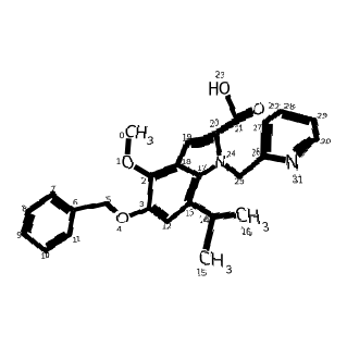 COc1c(OCc2ccccc2)cc(C(C)C)c2c1cc(C(=O)O)n2Cc1ccccn1